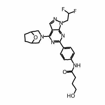 O=C(CCCO)Nc1ccc(-c2nc(N3CC4CCC(C3)O4)c3cnn(CC(F)F)c3n2)cc1